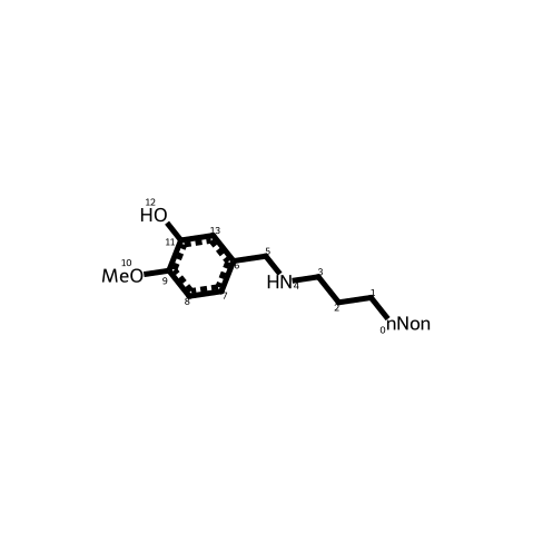 CCCCCCCCCCCCNCc1ccc(OC)c(O)c1